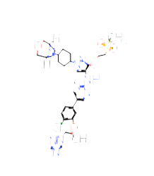 C[C@@H](Cn1cncn1)Oc1cc(-c2cnc(Nc3cn(C4CCC(N5[C@@H]6CC[C@H]5COC6)CC4)nc3OCCS(C)(=O)=O)nc2)ccc1Cl